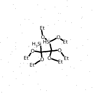 CCO[SiH](OCC)C(OCC)(OCC)C([SiH3])(OCC)OCC